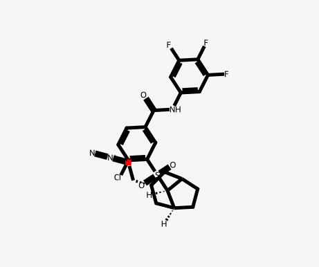 [N-]=[N+]=NC[C@@H]1CC2CC[C@@H](C1)[C@H]2S(=O)(=O)c1cc(C(=O)Nc2cc(F)c(F)c(F)c2)ccc1Cl